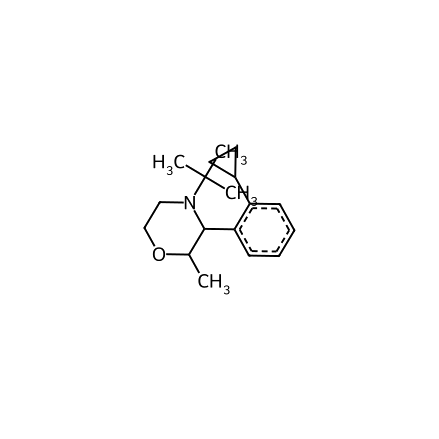 CC1OCCN(C(C)(C)C)C1c1ccccc1C1CC1